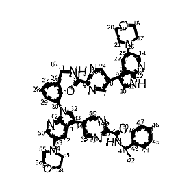 C[C@H](NC(=O)c1ncc(-c2c[nH]c3ncc(N4CCOCC4)cc23)cn1)c1cccc(-n2cc(-c3cnc(C(=O)N[C@H](C)c4ccccc4)nc3)c3cc(N4CCOCC4)cnc32)c1